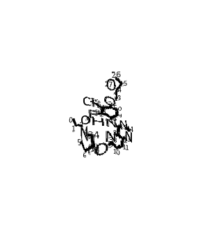 C=CC(=O)N1CC[C@H](Oc2ccc3ncnc(Nc4ccc(OCC5CCO5)c(Cl)c4F)c3n2)C1